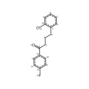 O=C(CCCc1ccc[c]c1Cl)c1ccc(F)cc1